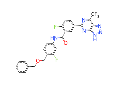 O=C(Nc1ccc(COCc2ccccc2)c(F)c1)c1cc(-c2nc(C(F)(F)F)c3nn[nH]c3n2)ccc1F